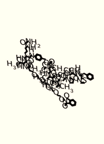 CC[C@H](C)[C@@H]([C@@H](CC(=O)N1CCC[C@H]1C(OC)[C@@H](C)C(=O)N[C@@H](Cc1ccccc1)c1nccs1)OC)N(C)C(=O)[C@@H](NC(=O)[C@H](C(C)C)N(C)C(=O)OCc1ccc(NC(=O)[C@H](CCCNC(N)=O)NC(=O)[C@@H](NC(=O)CCOCCOCCOCCOCCON2C(=O)c3ccccc3C2=O)C(C)C)cc1)C(C)C